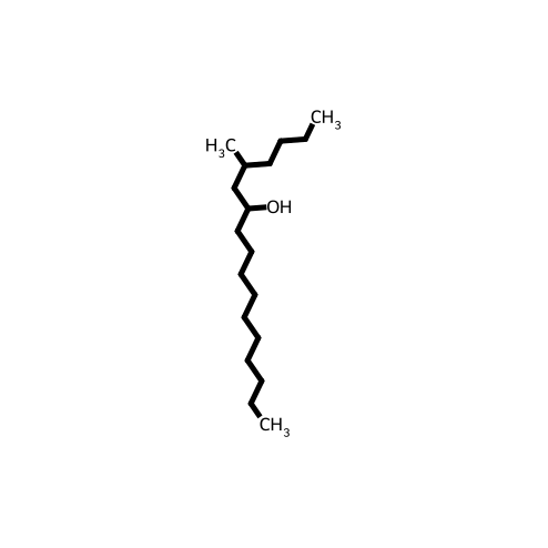 CCCCCCCCCCC(O)CC(C)CCCC